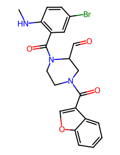 CNc1ccc(Br)cc1C(=O)N1CCN(C(=O)c2coc3ccccc23)CC1C=O